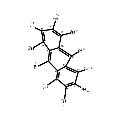 [2H]c1c([2H])c([2H])c2c(Br)c3c([2H])c([2H])c([2H])c([2H])c3c([2H])c2c1[2H]